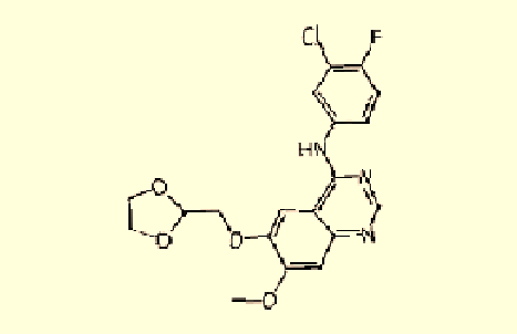 COc1cc2ncnc(Nc3ccc(F)c(Cl)c3)c2cc1OCC1OCCO1